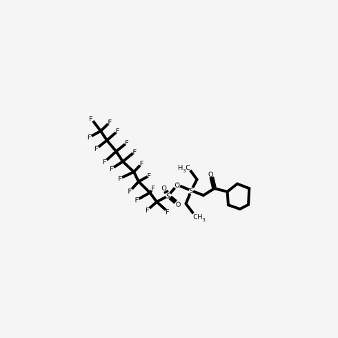 CCS(CC)(CC(=O)C1CCCCC1)OS(=O)(=O)C(F)(F)C(F)(F)C(F)(F)C(F)(F)C(F)(F)C(F)(F)C(F)(F)C(F)(F)F